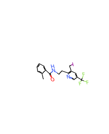 Cc1ccccc1C(=O)NCCc1ncc(C(F)(F)F)cc1CI